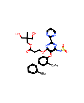 CC(C)(C)c1ccccc1.COc1ccccc1Oc1c(N=S(=O)=O)nc(-c2ncccn2)nc1OCCC(=O)OCC(C)(CO)CO